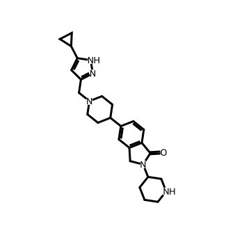 O=C1c2ccc(C3CCN(Cc4cc(C5CC5)[nH]n4)CC3)cc2CN1C1CCCNC1